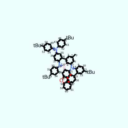 Cc1cc2c3c(c1)N(c1ccc(C(C)(C)C)cc1-c1ccccc1)c1cc4c(cc1B3N(c1ccc(C(C)(C)C)cc1)c1ccc(N(c3ccc(C(C)(C)C)cc3)c3ccc(C(C)(C)C)cc3)cc1-2)oc1ccccc14